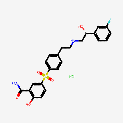 Cl.NC(=O)c1cc(S(=O)(=O)c2ccc(CCNC[C@H](O)c3cccc(F)c3)cc2)ccc1O